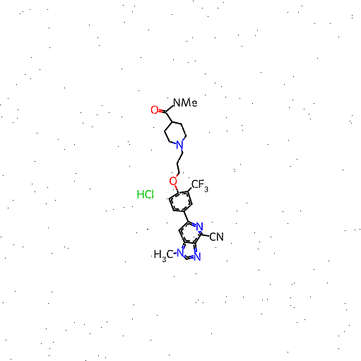 CNC(=O)C1CCN(CCCOc2ccc(-c3cc4c(ncn4C)c(C#N)n3)cc2C(F)(F)F)CC1.Cl